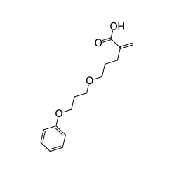 C=C(CCCOCCCOc1ccccc1)C(=O)O